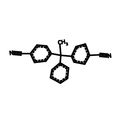 CC(c1ccccc1)(c1ccc(C#N)cc1)c1ccc(C#N)cc1